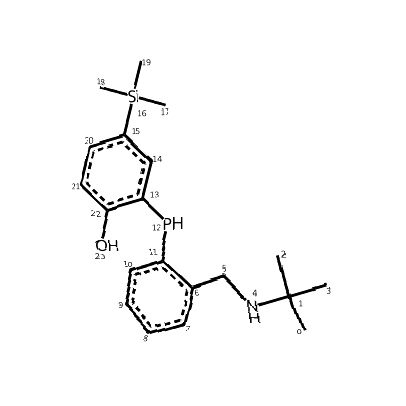 CC(C)(C)NCc1ccccc1Pc1cc([Si](C)(C)C)ccc1O